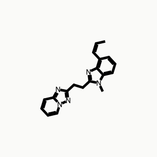 C/C=C\c1cccc2c1nc(CCc1nc3ccccn3n1)n2C